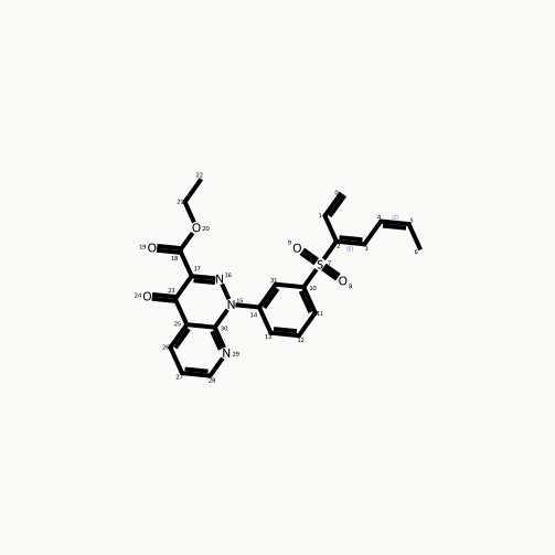 C=C/C(=C\C=C/C)S(=O)(=O)c1cccc(-n2nc(C(=O)OCC)c(=O)c3cccnc32)c1